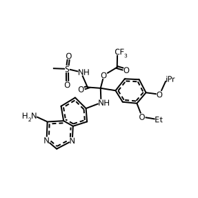 CCOc1cc(C(Nc2ccc3c(N)ncnc3c2)(OC(=O)C(F)(F)F)C(=O)NS(C)(=O)=O)ccc1OC(C)C